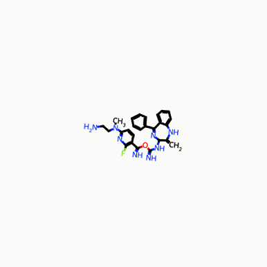 C=C1Nc2ccccc2C(c2ccccc2)=NC1NC(=N)OC(=N)c1ccc(N(C)CCN)nc1F